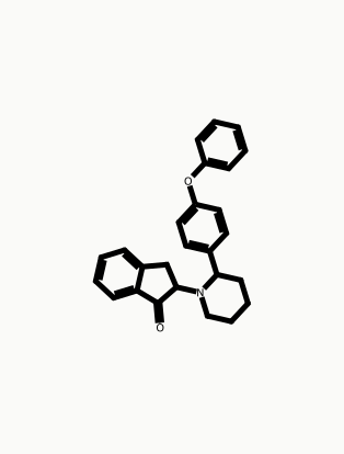 O=C1c2ccccc2CC1N1CCCCC1c1ccc(Oc2ccccc2)cc1